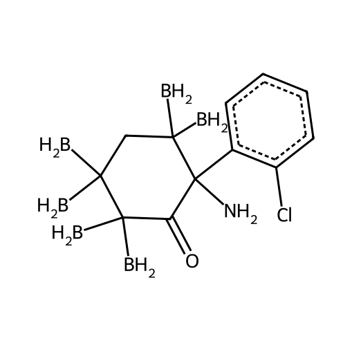 BC1(B)CC(B)(B)C(N)(c2ccccc2Cl)C(=O)C1(B)B